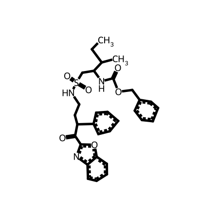 CCC(C)C(CS(=O)(=O)NCCC(C(=O)c1nc2ccccc2o1)c1ccccc1)NC(=O)OCc1ccccc1